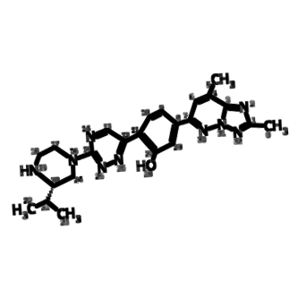 Cc1nc2c(C)cc(-c3ccc(-c4cnc(N5CCN[C@@H](C(C)C)C5)nn4)c(O)c3)nn2n1